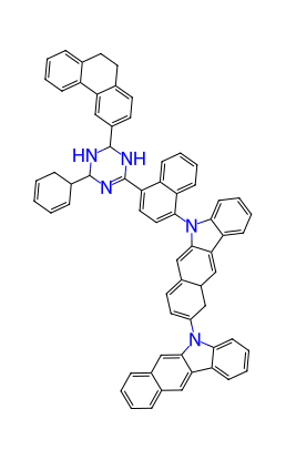 C1=CCC(C2N=C(c3ccc(-n4c5c(c6ccccc64)=CC4CC(n6c7ccccc7c7cc8ccccc8cc76)=CC=C4C=5)c4ccccc34)NC(c3ccc4c(c3)-c3ccccc3CC4)N2)C=C1